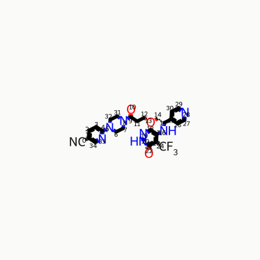 N#Cc1ccc(N2CCN(C(=O)CCOC[C@@H](Nc3cn[nH]c(=O)c3C(F)(F)F)c3ccncc3)CC2)nc1